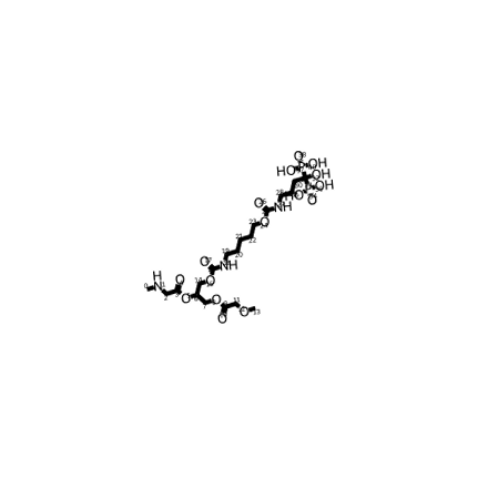 CNCC(=O)OC(COC(=O)COC)COC(=O)NCCCCCOC(=O)NCCCC(O)(P(=O)(O)O)P(=O)(O)O